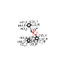 C=CC(=O)OC(=O)c1c(C(=O)O)c(C(=O)O)c(C(=O)O)c(C(=O)O)c1C(=O)O.O=C(O)c1c(C(=O)O)c(C(=O)O)c(C(=O)O)c(C(=O)O)c1C(=O)O.O=C(O)c1c(C(=O)O)c(C(=O)O)c(C(=O)O)c(C(=O)O)c1C(=O)O